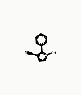 N#Cc1ccn(O)c1-c1ccccc1